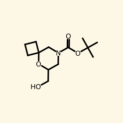 CC(C)(C)OC(=O)N1CC(CO)OC2(CCC2)C1